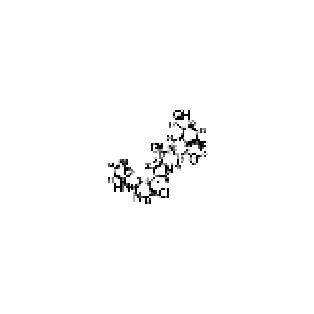 COC[C@H]1Cn2cc(-c3cc(Nc4ccno4)ncc3Cl)cc2C(=O)N1Cc1cc(F)ccc1CO